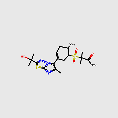 CNC(=O)C(C)(C)S(=O)(=O)C1CC(c2c(C)nc3sc(C(C)(C)O)nn23)=CCC1OC